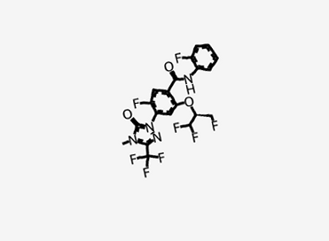 Cn1c(C(F)(F)F)nn(-c2cc(O[C@@H](CF)C(F)F)c(C(=O)Nc3ccccc3F)cc2F)c1=O